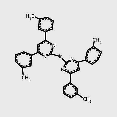 Cc1cccc(-c2cc(-c3cccc(C)c3)n[c]([Ir][c]3nc(-c4cccc(C)c4)cc(-c4cccc(C)c4)n3)n2)c1